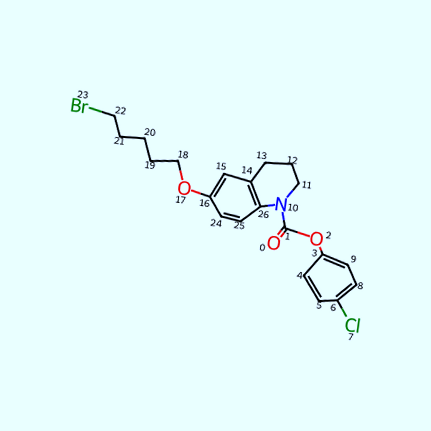 O=C(Oc1ccc(Cl)cc1)N1CCCc2cc(OCCCCCBr)ccc21